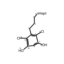 CCCCCCCCCCc1c(Cl)c(O)cc(O)c1Cl